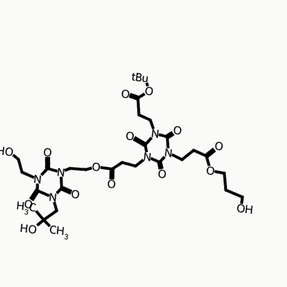 CC(C)(O)Cn1c(=O)n(CCO)c(=O)n(CCOC(=O)CCn2c(=O)n(CCC(=O)OCCCO)c(=O)n(CCC(=O)OC(C)(C)C)c2=O)c1=O